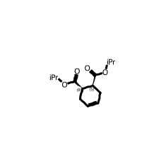 CC(C)OC(=O)[C@H]1CC=CC[C@H]1C(=O)OC(C)C